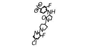 CS(=O)(=O)c1ccc(NC2CCN(C3CCN(c4ncc(Cl)cc4F)CC3)C2=O)c(F)c1